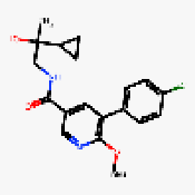 CCCCOc1ncc(C(=O)NCC(C)(O)C2CC2)cc1-c1ccc(Cl)cc1